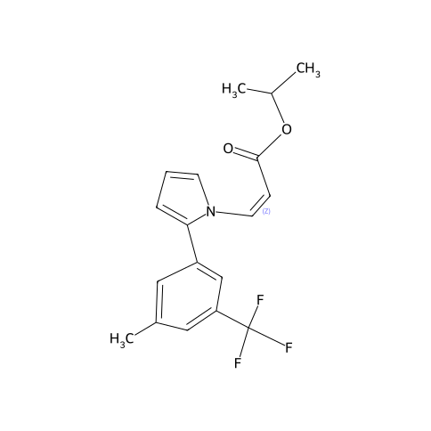 Cc1cc(-c2cccn2/C=C\C(=O)OC(C)C)cc(C(F)(F)F)c1